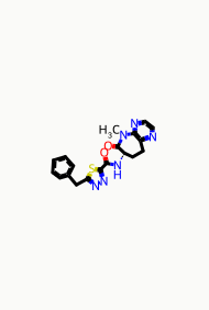 CN1C(=O)[C@@H](NC(=O)c2nnc(Cc3ccccc3)s2)CCc2nccnc21